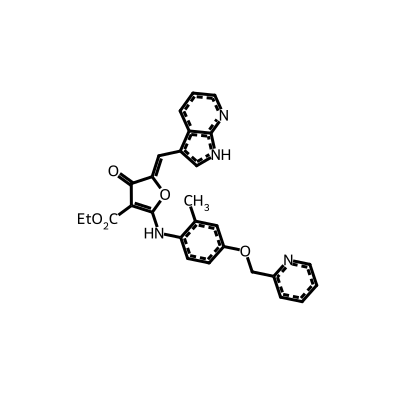 CCOC(=O)C1=C(Nc2ccc(OCc3ccccn3)cc2C)OC(=Cc2c[nH]c3ncccc23)C1=O